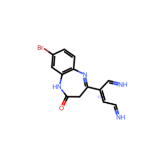 N=C/C=C(\C=N)C1=Nc2ccc(Br)cc2NC(=O)C1